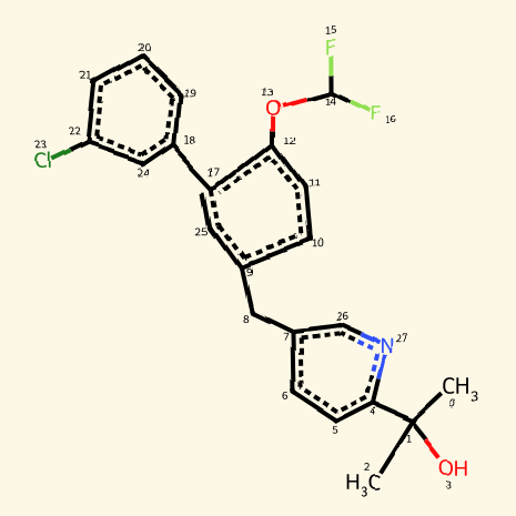 CC(C)(O)c1ccc(Cc2ccc(OC(F)F)c(-c3cccc(Cl)c3)c2)cn1